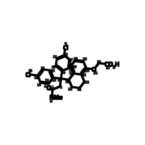 CNC(=O)CC(c1ccc(Cl)cc1)(c1ccc(Cl)cc1)C1CCCc2c(OCC(=O)O)cccc21